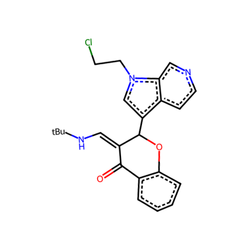 CC(C)(C)N/C=C1\C(=O)c2ccccc2OC1c1cn(CCCl)c2cnccc12